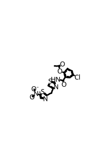 CC(=O)Oc1ccc(Cl)cc1C(=O)Nc1nc(Cc2ncc([N+](=O)[O-])s2)cs1